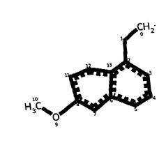 [CH2]Cc1cccc2cc(OC)ccc12